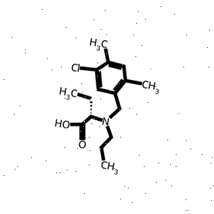 CCCN(Cc1cc(Cl)c(C)cc1C)[C@@H](CC)C(=O)O